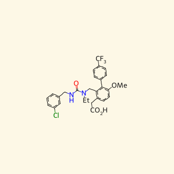 CCN(Cc1c(CC(=O)O)ccc(OC)c1-c1ccc(C(F)(F)F)cc1)C(=O)NCc1cccc(Cl)c1